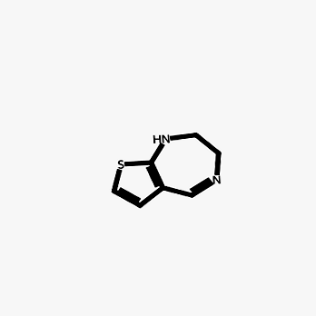 C1=NCCNc2sccc21